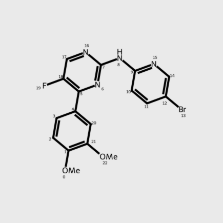 COc1ccc(-c2nc(Nc3ccc(Br)cn3)ncc2F)cc1OC